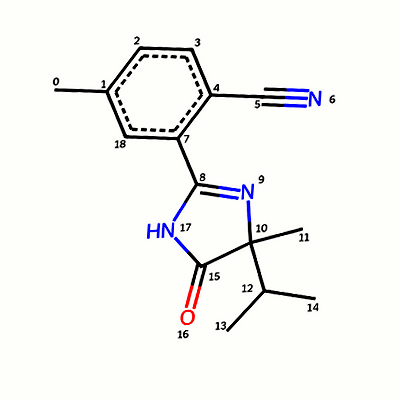 Cc1ccc(C#N)c(C2=NC(C)(C(C)C)C(=O)N2)c1